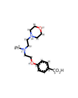 CC(C)N(CCOc1ccc(C(=O)O)cc1)CCN1CCOCC1